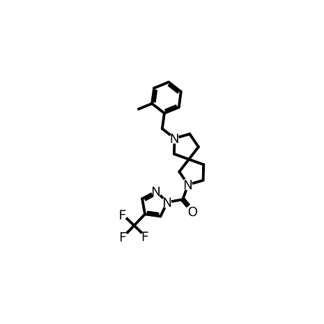 Cc1ccccc1CN1CCC2(CCN(C(=O)n3cc(C(F)(F)F)cn3)C2)C1